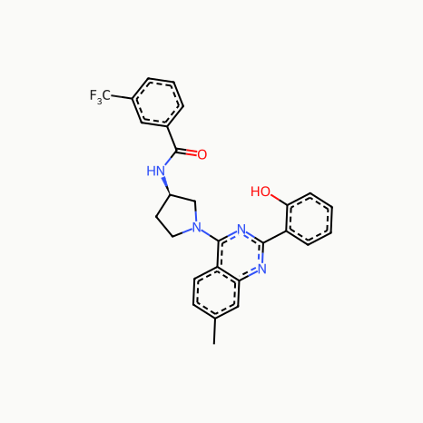 Cc1ccc2c(N3CC[C@@H](NC(=O)c4cccc(C(F)(F)F)c4)C3)nc(-c3ccccc3O)nc2c1